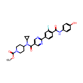 CC(C)(C)OC(=O)N1CCC(N(C(=O)c2cnc(-c3ccc(C(=O)Nc4ccc(O)cc4)c(F)c3)nc2)C2CC2)CC1